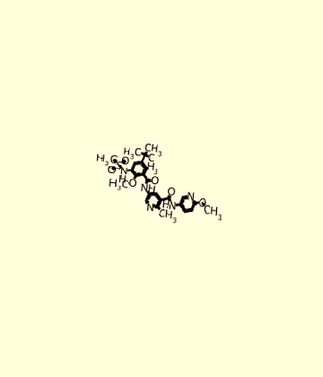 COc1ccc(NC(=O)c2cc(NC(=O)c3cc(C(C)(C)C)cc(NS(C)(=O)=O)c3OC)cnc2C)cn1